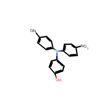 O=Nc1ccc(N(c2ccc(O)cc2)c2ccc([N+](=O)[O-])cc2)cc1